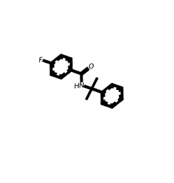 CC(C)(NC(=O)c1ccc(F)cc1)c1ccccc1